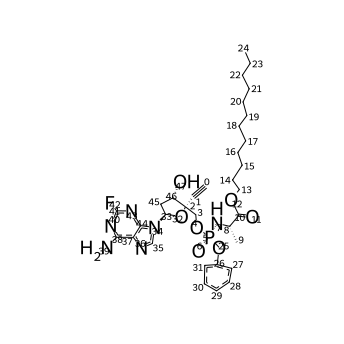 C#C[C@]1(CO[P@@](=O)(N[C@@H](C)C(=O)OCCCCCCCCCCCC)Oc2ccccc2)O[C@@H](n2cnc3c(N)nc(F)nc32)C[C@@H]1O